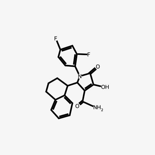 NC(=O)C1=C(O)C(=O)N(c2ccc(F)cc2F)C1C1CCCc2ccccc21